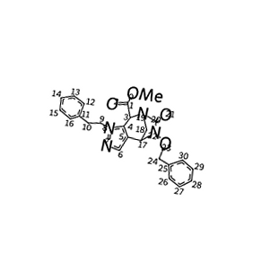 COC(=O)C1c2c(cnn2CCc2ccccc2)C2CN1C(=O)N2OCc1ccccc1